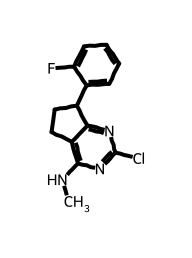 CNc1nc(Cl)nc2c1CCC2c1ccccc1F